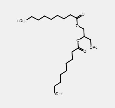 CCCCCCCCCCCCCCCCCC(=O)OCC(COC(C)=O)OC(=O)CCCCCCCCCCCCCCCCC